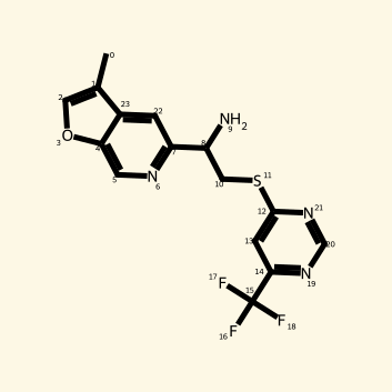 Cc1coc2cnc(C(N)CSc3cc(C(F)(F)F)ncn3)cc12